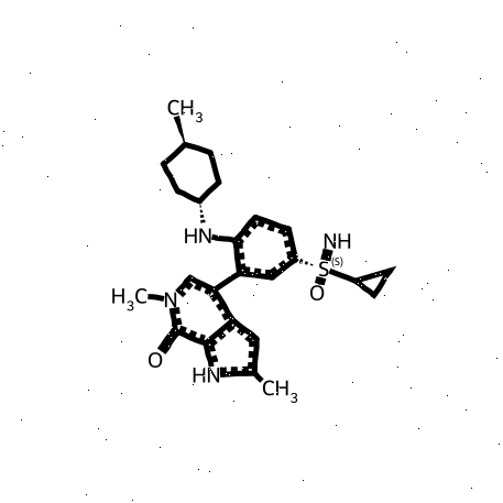 Cc1cc2c(-c3cc([S@@](=N)(=O)C4CC4)ccc3N[C@H]3CC[C@H](C)CC3)cn(C)c(=O)c2[nH]1